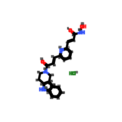 Cl.O=C(C=Cc1cccc(C=CC(=O)N2CCc3[nH]c4ccccc4c3C2)n1)NO